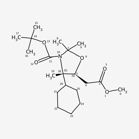 COC(=O)C[C@@H]1OC(C)(C)N(C(=O)OC(C)(C)C)[C@@]1(C)C1CCCCC1